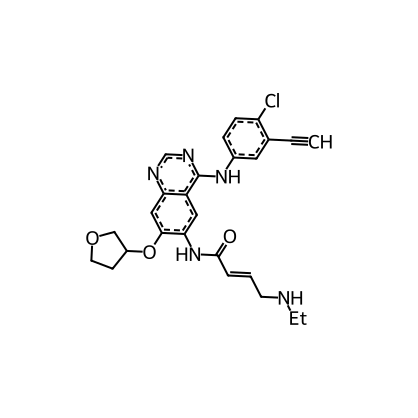 C#Cc1cc(Nc2ncnc3cc(OC4CCOC4)c(NC(=O)C=CCNCC)cc23)ccc1Cl